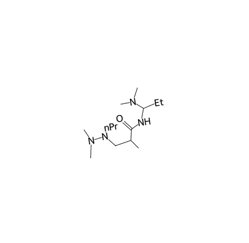 CCCN(CC(C)C(=O)NC(CC)N(C)C)N(C)C